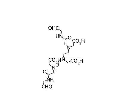 O=CCNC(=O)CN(CCN(CCN(CC(=O)O)CC(=O)NCC=O)CC(=O)O)CC(=O)O